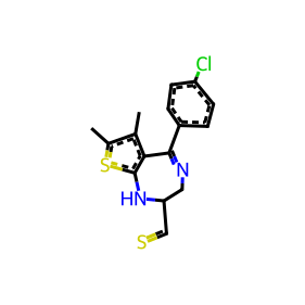 Cc1sc2c(c1C)C(c1ccc(Cl)cc1)=NCC(C=S)N2